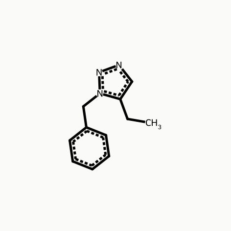 CCc1cnnn1Cc1ccccc1